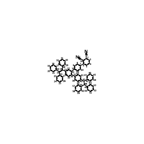 N#Cc1cccc(-c2ccc(-c3cc(C(=C(c4ccccc4)c4ccccc4)c4ccccc4)ccc3-c3ccc(C(c4ccccc4)C(c4ccccc4)c4ccccc4)cc3)cc2)c1C#N